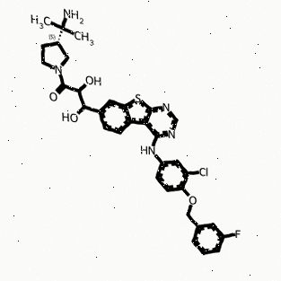 CC(C)(N)[C@H]1CCN(C(=O)C(O)C(O)c2ccc3c(c2)sc2ncnc(Nc4ccc(OCc5cccc(F)c5)c(Cl)c4)c23)C1